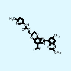 COc1cnc2c(-c3nc4c(C(F)F)cc5c(c4s3)OC[C@H](COC(=O)Nc3ccc(C)nc3)O5)cc(C)cc2n1